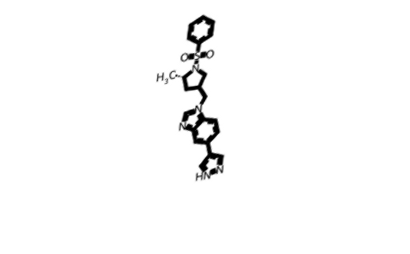 C[C@H]1CC(Cn2cnc3cc(-c4cn[nH]c4)ccc32)CN1S(=O)(=O)c1ccccc1